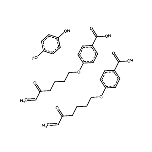 C=CC(=O)CCCCOc1ccc(C(=O)O)cc1.C=CC(=O)CCCCOc1ccc(C(=O)O)cc1.Oc1ccc(O)cc1